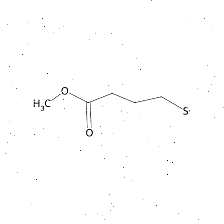 COC(=O)CCC[S]